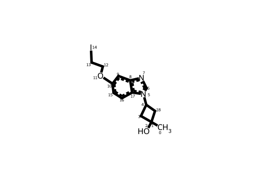 CC1(O)CC(n2cnc3cc(OCCI)ccc32)C1